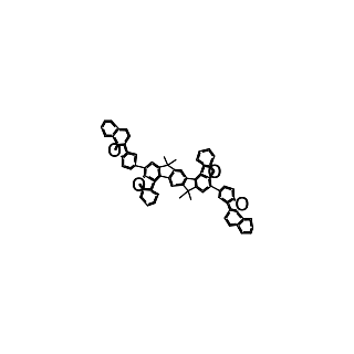 CC1(C)c2cc3c(cc2-c2c1cc(-c1ccc4oc5c6ccccc6ccc5c4c1)c1oc4ccccc4c21)C(C)(C)c1cc(-c2ccc4oc5c6ccccc6ccc5c4c2)c2oc4ccccc4c2c1-3